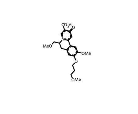 COCCCOc1cc2c(cc1OC)-c1cc(=O)c(C(=O)O)cn1C(COC)C2